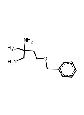 CC(N)(CN)CCOCc1ccccc1